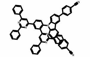 N#Cc1ccc(-c2ccc3c(c2)c2cc(-c4ccc(C#N)cc4)ccc2n3-c2ccc(-c3cc(-c4ccccc4)nc(-c4ccccc4)n3)cc2-c2cc(-c3ccccc3)nc(-c3ccccc3)n2)cc1